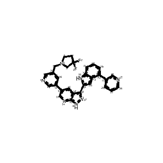 FC1(F)CCN(Cc2cncc(-c3cnc4[nH]nc(-c5cc6c(-c7cccnc7)cccc6[nH]5)c4c3)c2)C1